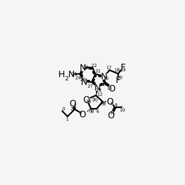 CCC(=O)O[C@H]1C[C@@H](OC(C)=O)[C@H](n2c(=O)n(CC(F)F)c3cnc(N)nc32)O1